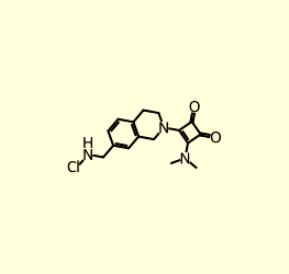 CN(C)c1c(N2CCc3ccc(CNCl)cc3C2)c(=O)c1=O